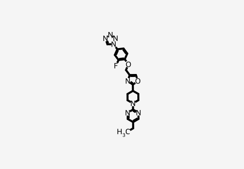 CCc1cnc(N2CCC(c3nc(COc4ccc(-n5cnnn5)cc4F)co3)CC2)nc1